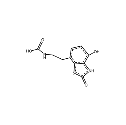 O=C(O)NCCc1ccc(O)c2[nH]c(=O)sc12